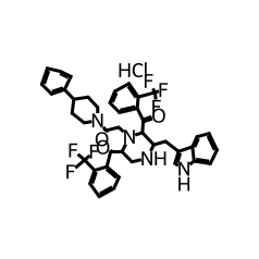 Cl.O=C(c1ccccc1C(F)(F)F)C1CNC(Cc2c[nH]c3ccccc23)C(C(=O)c2ccccc2C(F)(F)F)N1CC(=O)N1CCC(c2ccccc2)CC1